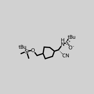 CC(C)(C)[S+]([O-])N[C@H](C#N)C1CCC(CO[Si](C)(C)C(C)(C)C)CC1